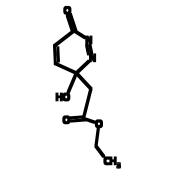 CCOC(=O)CC1(O)C=CC(=O)N=N1